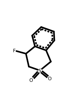 O=S1(=O)Cc2ccccc2C(F)C1